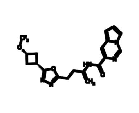 C=C(CCc1nnc([C@H]2C[C@@H](OC(F)(F)F)C2)o1)NC(=O)c1cc2cccn2cn1